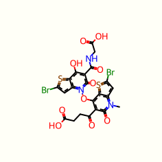 Cn1c(=O)c(C(=O)CCC(=O)O)c(On2c(=O)c(C(=O)NCC(=O)O)c(O)c3sc(Br)cc32)c2sc(Br)cc21